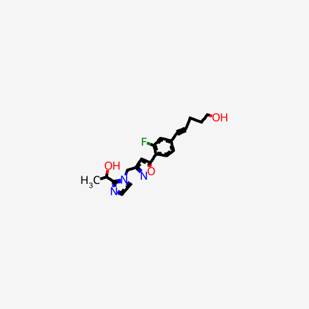 CC(O)c1nccn1Cc1cc(-c2ccc(C#CCCCO)cc2F)on1